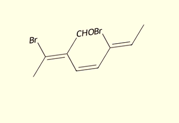 CC=C(Br)/C=C\C(C=O)=C(/C)Br